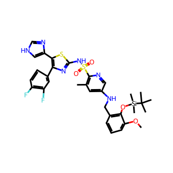 COc1cccc(CNc2cnc(S(=O)(=O)Nc3nc(-c4ccc(F)c(F)c4)c(-c4c[nH]cn4)s3)c(C)c2)c1O[Si](C)(C)C(C)(C)C